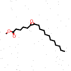 CCCCCCCCCCCC1OC1CCCCC(=O)OC